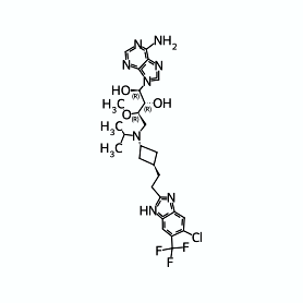 CO[C@H](CN(C(C)C)[C@H]1C[C@H](CCc2nc3cc(Cl)c(C(F)(F)F)cc3[nH]2)C1)[C@@H](O)[C@@H](O)n1cnc2c(N)ncnc21